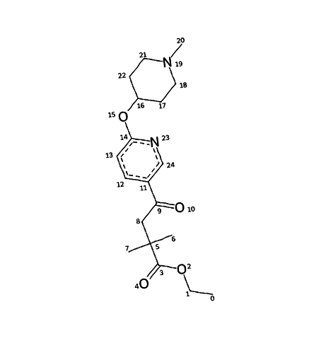 CCOC(=O)C(C)(C)CC(=O)c1ccc(OC2CCN(C)CC2)nc1